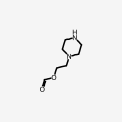 O=COCCN1CCNCC1